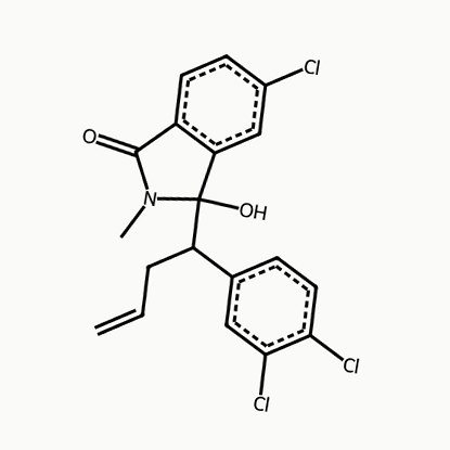 C=CCC(c1ccc(Cl)c(Cl)c1)C1(O)c2cc(Cl)ccc2C(=O)N1C